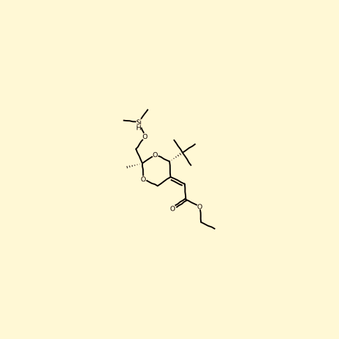 CCOC(=O)C=C1CO[C@@](C)(CO[SiH](C)C)O[C@@H]1C(C)(C)C